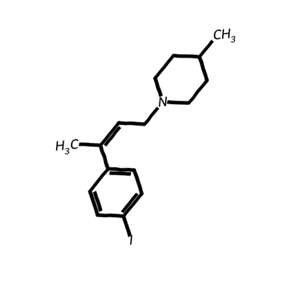 CC(=CCN1CCC(C)CC1)c1ccc(I)cc1